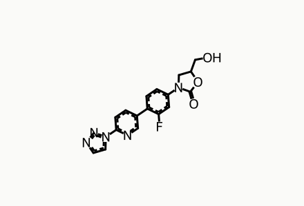 O=C1OC(CO)CN1c1ccc(-c2ccc(-n3ccnn3)nc2)c(F)c1